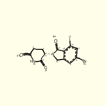 O=C1CC[C@H](N2Cc3cc(Br)cc(I)c3C2=O)C(=O)N1